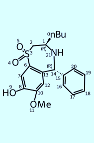 CCCC[C@@H]1CS(=O)(=O)c2cc(O)c(OC)cc2[C@@H](c2ccccc2)N1